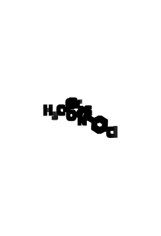 CC(=O)Oc1nc(-c2ccc(Cl)cc2)sc1Br